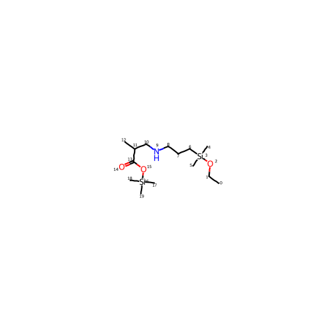 CCO[Si](C)(C)CCCNCC(C)C(=O)O[Si](C)(C)C